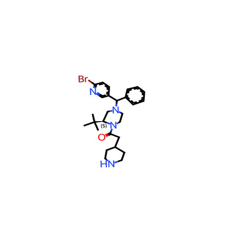 CC(C)(C)[C@H]1CN(C(c2ccccc2)c2ccc(Br)nc2)CCN1C(=O)CC1CCNCC1